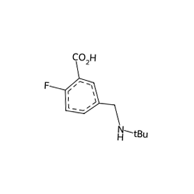 CC(C)(C)NCc1ccc(F)c(C(=O)O)c1